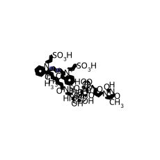 Cc1cn([C@H]2C[C@@H](O)[C@@H](COP(=O)(O)CP(=O)(O)CP(=O)(O)CP(=O)(O)NCCNC(=O)CCCCCC3(C)/C(=C\C=C\C4=[N+](CCCS(=O)(=O)O)c5ccc(S(=O)(=O)O)cc5C4(C)C)N(CCCS(=O)(=O)O)c4ccccc43)O2)c(=O)[nH]c1=O